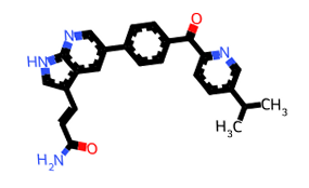 CC(C)c1ccc(C(=O)c2ccc(-c3cnc4[nH]cc(C=CC(N)=O)c4c3)cc2)nc1